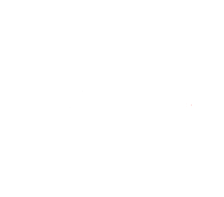 C=C1C2CCC(C2)C1(C)CCC=C(C)C=O